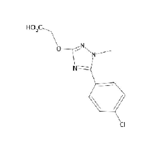 Cn1nc(OCC(=O)O)nc1-c1ccc(Cl)cc1